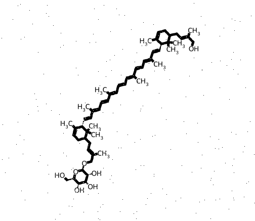 CC1=CCC(C/C=C(\C)CO)C(C)(C)[C@H]1/C=C/C(C)=C/C=C/C(C)=C/C=C/C=C(C)/C=C/C=C(C)/C=C/[C@H]1C(C)=CCC(C/C=C(\C)CO[C@@H]2O[C@H](CO)[C@@H](O)[C@H](O)[C@H]2O)C1(C)C